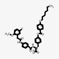 CCCCCCCOc1ccc(C(=O)Oc2ccc(C[C@H](NC(=O)c3ccc(NC(=O)Cc4cc(F)ccc4OC)cc3)C(=O)O)cc2)cc1